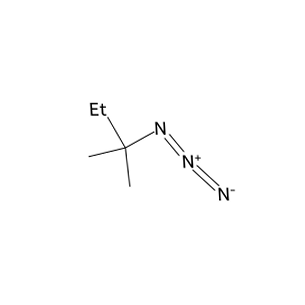 CCC(C)(C)N=[N+]=[N-]